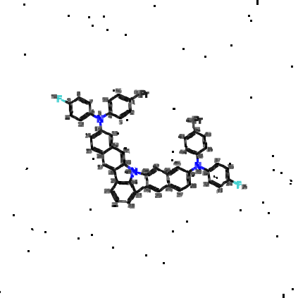 CC(C)c1ccc(N(c2ccc(F)cc2)c2ccc3cc4c5cccc6c7cc8ccc(N(c9ccc(F)cc9)c9ccc(C(C)C)cc9)cc8cc7n(c4cc3c2)c56)cc1